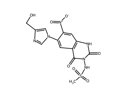 CS(=O)(=O)Nn1c(=O)[nH]c2cc([N+](=O)[O-])c(-n3cnc(CO)c3)cc2c1=O